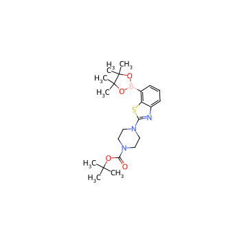 CC(C)(C)OC(=O)N1CCN(c2nc3cccc(B4OC(C)(C)C(C)(C)O4)c3s2)CC1